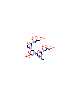 CCN(CCN(CCN(CC)CC(=O)N(C)CC(O)CO)CC(=O)O)CC(=O)N(C)CC(O)CO